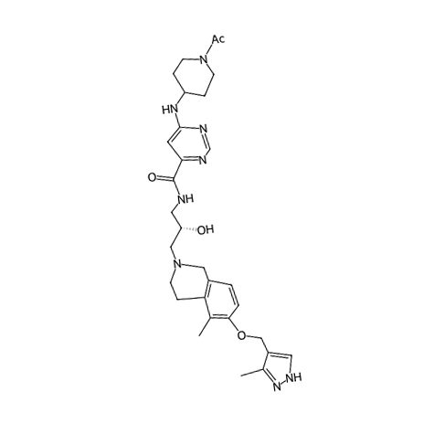 CC(=O)N1CCC(Nc2cc(C(=O)NC[C@H](O)CN3CCc4c(ccc(OCc5c[nH]nc5C)c4C)C3)ncn2)CC1